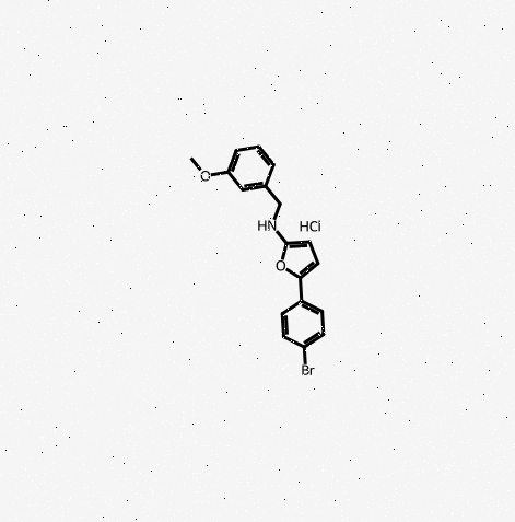 COc1cccc(CNc2ccc(-c3ccc(Br)cc3)o2)c1.Cl